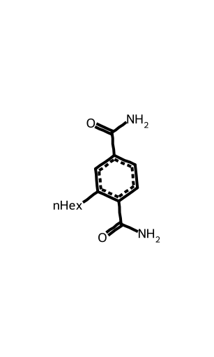 CCCCCCc1cc(C(N)=O)ccc1C(N)=O